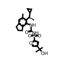 Cc1cc2c(c(NC(=O)NS(=O)(=O)c3cc(C(C)(C)O)co3)c1[C@H](C)C1CC1)CCC2